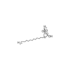 CCCCCCCCCCCCC[C@@H](COS(C)(=O)=O)CC(=O)O